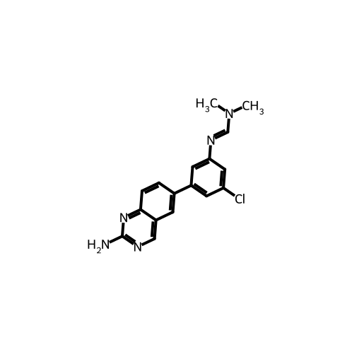 CN(C)/C=N/c1cc(Cl)cc(-c2ccc3nc(N)ncc3c2)c1